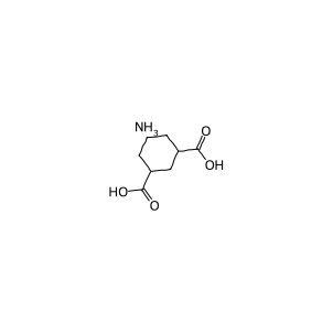 N.O=C(O)C1CCCC(C(=O)O)C1